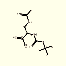 CC(=O)SC[C@@H](NC(=O)OC(C)(C)C)C(=O)O